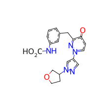 O=C(O)Nc1cccc(Cc2nn(-c3cnn(C4CCOC4)c3)ccc2=O)c1